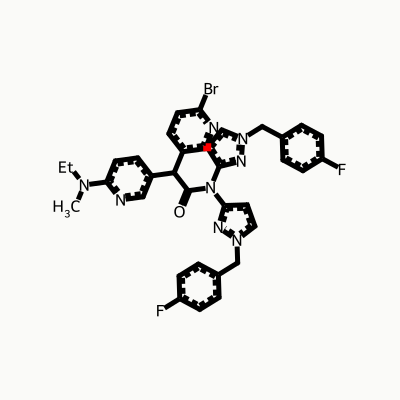 CCN(C)c1ccc(C(C(=O)N(c2ccn(Cc3ccc(F)cc3)n2)c2ccn(Cc3ccc(F)cc3)n2)c2ccc(Br)nc2)cn1